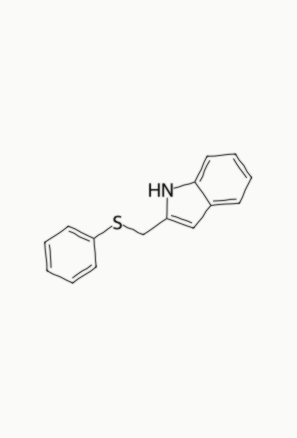 c1ccc(SCc2cc3ccccc3[nH]2)cc1